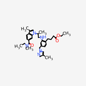 CCOC(=O)CCCc1ccc(Cn2cc(C)cn2)cc1NCC(C)n1cc(C)c2ccc(C(=O)N(C)CC)cc21